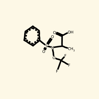 CC(C(=O)O)N(OC(F)(F)F)S(=O)(=O)c1ccccc1